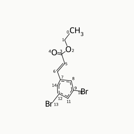 CCOC(=O)C=Cc1cc(Br)cc(Br)c1